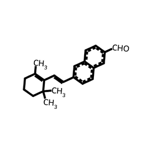 CC1=C(C=Cc2ccc3cc(C=O)ccc3c2)C(C)(C)CCC1